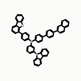 c1cc(N(c2ccc(-c3ccc(-c4ccc5ccccc5c4)cc3)cc2)c2ccc(-c3cccc4c3oc3ccccc34)cc2)cc(-n2c3ccccc3c3ccccc32)c1